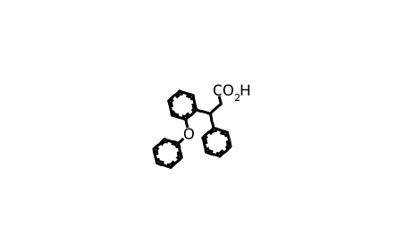 O=C(O)CC(c1ccccc1)c1ccccc1Oc1ccccc1